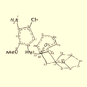 COc1cc(N)c(Cl)cc1NC(=O)CC1CC2CCC(C1)N2Cc1ccccc1